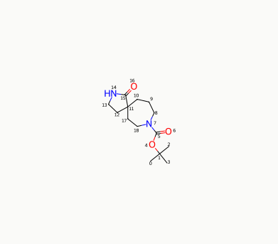 CC(C)(C)OC(=O)N1CCCC2(CCNC2=O)CC1